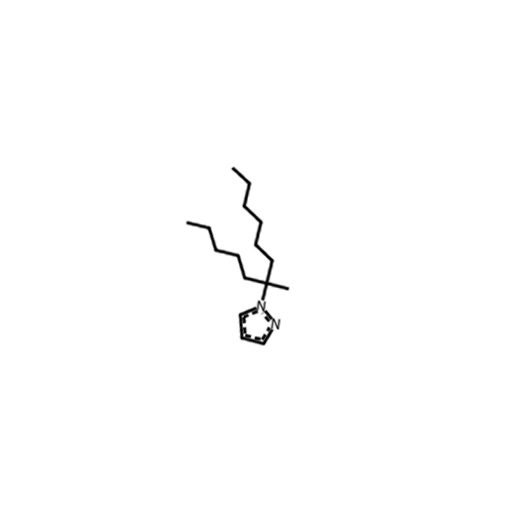 CCCCCCC(C)(CCCCC)n1cccn1